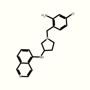 Nc1cc(Cl)ccc1CN1CCC(Nc2cccc3cnccc23)C1